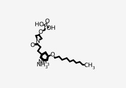 CCCCCCCCCCOc1cccc(CCC(=O)N2CC(OCP(=O)(O)O)C2)c1.N.N